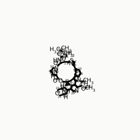 CCO[C@@H]1c2nc(cs2)-c2ccc3c(c2)c(c(-c2cc(C4C[C@H]5COC[C@H](C4)N5)cnc2[C@H](C)OC)n3CC)CC2(CC2)COC(=O)[C@@H]2CCCN(N2)C(=O)[C@H]1NC(=O)OC(C)(C)C